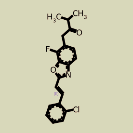 CC(C)C(=O)Cc1ccc2nc(/C=C/c3ccccc3Cl)oc2c1F